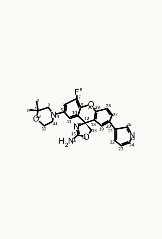 CC1(C)CN(c2cc(F)c3c(c2)[C@]2(COC(N)=N2)c2cc(-c4cccnc4)ccc2O3)CCO1